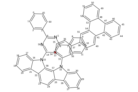 c1ccc(-c2nc(-c3ccccc3)nc(-n3c4ccccc4c4ccc5c6ccccc6n(-c6cccc(-c7ccc8c9ccccc9c9ccccc9c8c7)c6)c5c43)n2)cc1